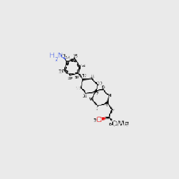 COC(=O)CC1CCC2(CC1)CCC(c1ccc(N)cc1)CC2